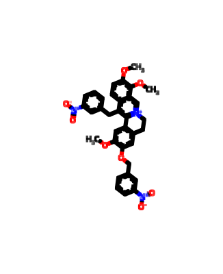 COc1cc2c(cc1OCc1cccc([N+](=O)[O-])c1)CC[n+]1cc3c(OC)c(OC)ccc3c(Cc3cccc([N+](=O)[O-])c3)c1-2